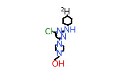 [2H]C1CCC(Nc2nc(Cl)cc(N3CCN(CCO)CC3)n2)CC1